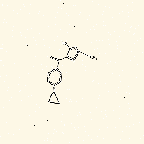 Cc1cc(O)c(C(=O)c2ccc(C3CC3)cc2)s1